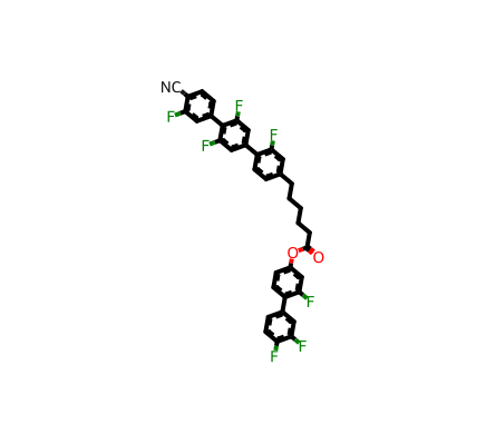 N#Cc1ccc(-c2c(F)cc(-c3ccc(CCCCCC(=O)Oc4ccc(-c5ccc(F)c(F)c5)c(F)c4)cc3F)cc2F)cc1F